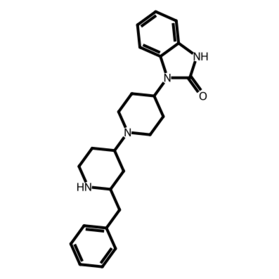 O=c1[nH]c2ccccc2n1C1CCN(C2CCNC(Cc3ccccc3)C2)CC1